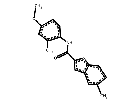 COc1ccc(NC(=O)c2cc3cc(C)ccc3s2)c(C)c1